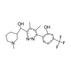 Cc1c(-c2ccc(C(F)(F)F)cc2O)nnc(C(O)C2CCCN(C)C2)c1C